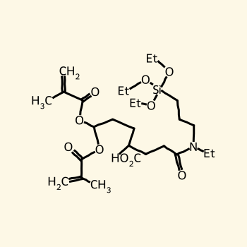 C=C(C)C(=O)OC(CCC(CCC(=O)N(CC)CCC[Si](OCC)(OCC)OCC)C(=O)O)OC(=O)C(=C)C